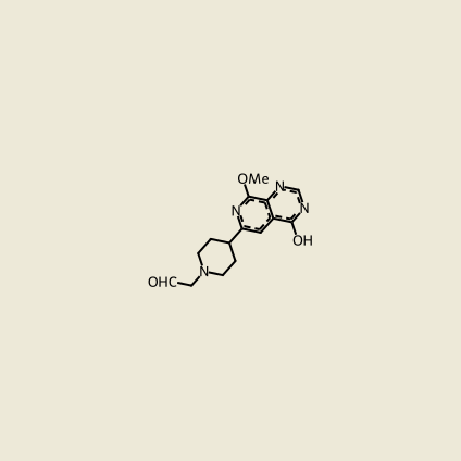 COc1nc(C2CCN(CC=O)CC2)cc2c(O)ncnc12